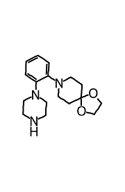 c1ccc(N2CCC3(CC2)OCCO3)c(N2CCNCC2)c1